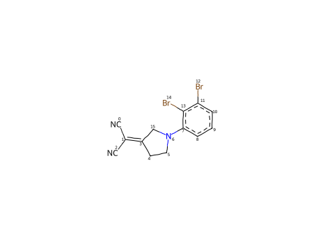 N#CC(C#N)=C1CCN(c2cccc(Br)c2Br)C1